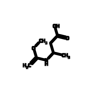 C=C(NC(C)CC(=O)O)OC